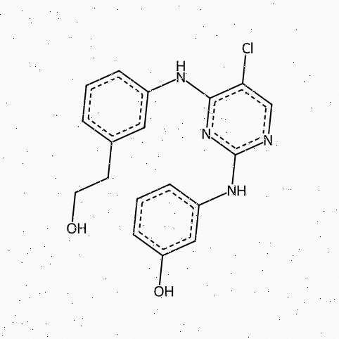 OCCc1cccc(Nc2nc(Nc3cccc(O)c3)ncc2Cl)c1